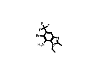 CCn1c(C)nc2cc(C(F)(F)F)c(Br)c(N)c21